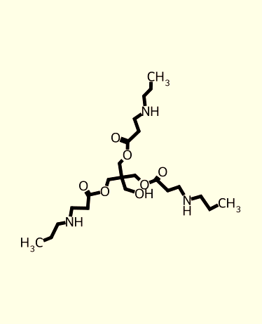 CCCNCCC(=O)OCC(CO)(COC(=O)CCNCCC)COC(=O)CCNCCC